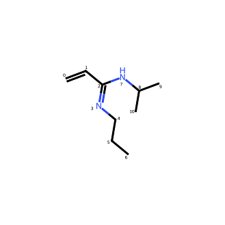 C=CC(=NCCC)NC(C)C